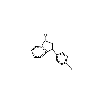 Fc1ccc(C2CC(Cl)c3ccccc32)cc1